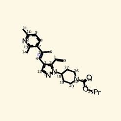 C=Cc1c(/C=C(\C)c2ccc(C)nc2C)cnn1C1CCN(C(=O)OC(C)C)CC1